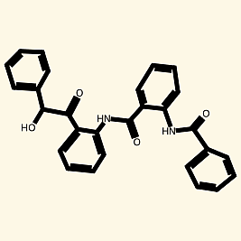 O=C(Nc1ccccc1C(=O)Nc1ccccc1C(=O)C(O)c1ccccc1)c1ccccc1